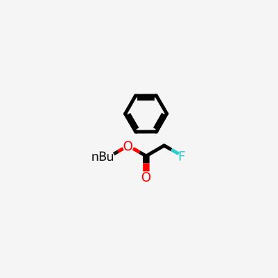 CCCCOC(=O)CF.c1ccccc1